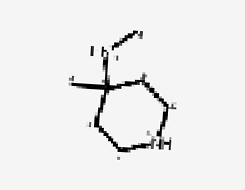 [CH2]NC1(C)CCNCC1